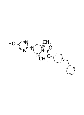 C[C@@H]1CN(c2ncc(O)cn2)C[C@H](C)N1C(=O)OC1CCN(Cc2ccccc2)CC1